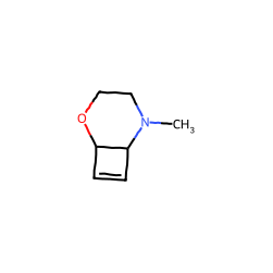 CN1CCOC2C=CC21